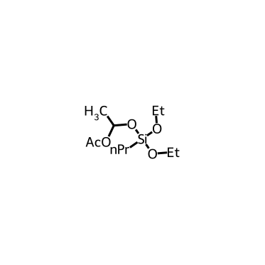 CCC[Si](OCC)(OCC)OC(C)OC(C)=O